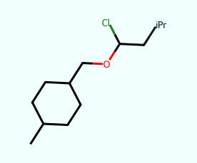 CC(C)CC(Cl)OCC1CCC(C)CC1